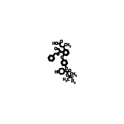 CC(CC(=O)O)c1cccc(Oc2ccc(OC3(C(=O)OC(C)(C)C)CCNCC3)cc2)c1N(C=O)OCc1ccccc1